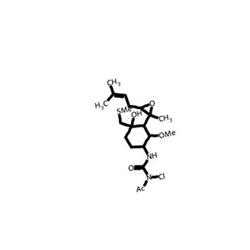 COC1C(NC(=O)N(Cl)C(C)=O)CCC(O)(CSC)C1C1(C)OC1CC=C(C)C